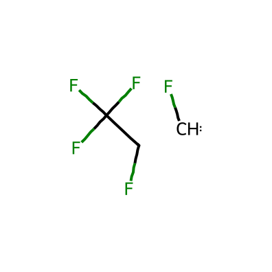 FCC(F)(F)F.[CH]F